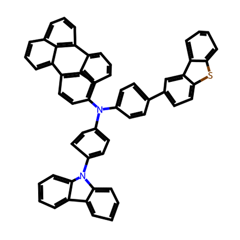 c1ccc(-c2cccc3cccc(-c4ccc(N(c5ccc(-c6ccc7sc8ccccc8c7c6)cc5)c5ccc(-n6c7ccccc7c7ccccc76)cc5)cc4)c23)cc1